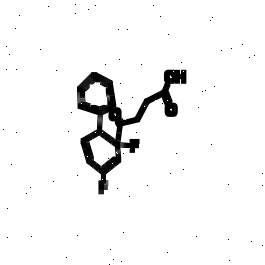 O=C(O)CCC(=O)C1(F)C=C(F)C=CC1c1ccccc1